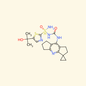 CC(C)(O)c1cnc([SH](N)(=O)NC(=O)Nc2c3c(nc4c2CCC42CC2)CCC3)s1